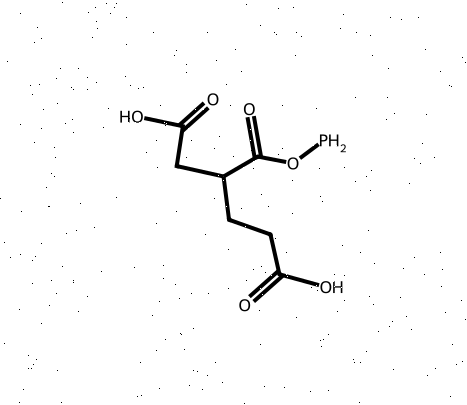 O=C(O)CCC(CC(=O)O)C(=O)OP